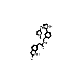 CN(C(=O)Cc1ccc2c(c1)NC(=O)C2)[C@H](CN1CCC(O)C1)c1cccc(-c2ncc[nH]2)c1